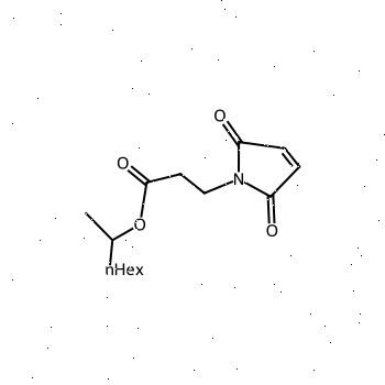 CCCCCCC(C)OC(=O)CCN1C(=O)C=CC1=O